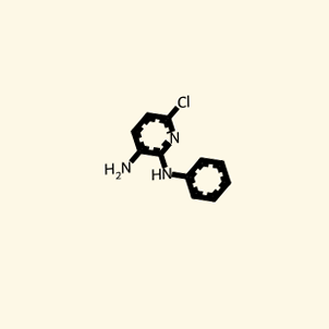 Nc1ccc(Cl)nc1Nc1ccccc1